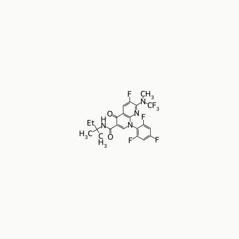 CCC(C)(C)NC(=O)c1cn(-c2c(F)cc(F)cc2F)c2nc(N(C)C(F)(F)F)c(F)cc2c1=O